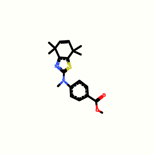 COC(=O)c1ccc(N(C)c2nc3c(s2)C(C)(C)C=CC3(C)C)cc1